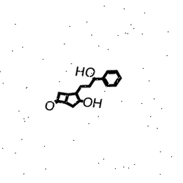 O=C1CC2C1CC(O)C2CCC(O)c1ccccc1